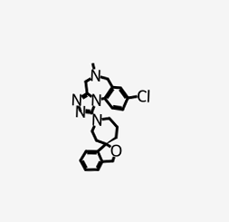 CN1Cc2cc(Cl)ccc2-n2c(nnc2N2CCC[C@@]3(CC2)OCc2ccccc23)C1